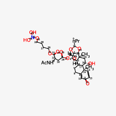 CCCC1O[C@@H]2CC3[C@@H]4CCC5=CC(=O)C=C[C@]5(C)C4[C@@H](O)C[C@]3(C)[C@]2(C(=O)COC(=O)CC(NC(C)=O)C(=O)OCCCCON(O)O)O1